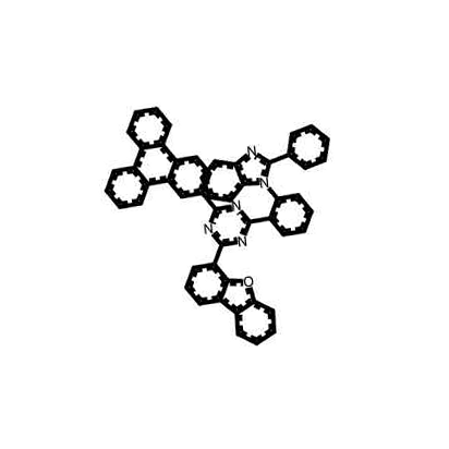 c1ccc(-c2nc3ccccc3n2-c2ccccc2-c2nc(-c3ccc4c5ccccc5c5ccccc5c4c3)nc(-c3cccc4c3oc3ccccc34)n2)cc1